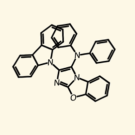 c1ccc(N(c2ccccc2)c2c(-n3c4ccccc4c4ccccc43)nc3oc4ccccc4n23)cc1